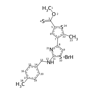 Br.COC(=S)c1cc(-c2csc(NCc3ccc(C)cc3)n2)c(C)s1